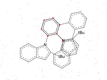 CC(C)(C)c1cc2ccccc2n1-c1ccccc1-c1ccccc1-c1ccccc1-c1ccccc1-n1c(C(C)(C)C)cc2ccccc21